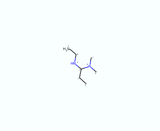 CCC(NC[SiH3])N(C)C